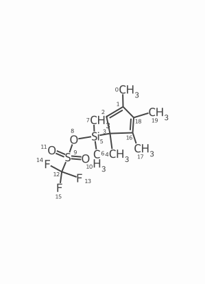 CC1=CC(C)([Si](C)(C)OS(=O)(=O)C(F)(F)F)C(C)=C1C